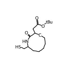 CC(C)(C)OC(=O)CC1CCCCCCC(CS)NC1=O